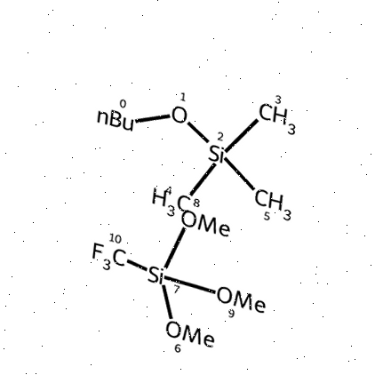 CCCCO[Si](C)(C)C.CO[Si](OC)(OC)C(F)(F)F